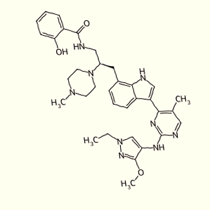 CCn1cc(Nc2ncc(C)c(-c3c[nH]c4c(C[C@H](CNC(=O)c5ccccc5O)N5CCN(C)CC5)cccc34)n2)c(OC)n1